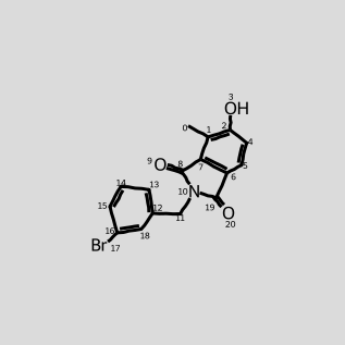 Cc1c(O)ccc2c1C(=O)N(Cc1cccc(Br)c1)C2=O